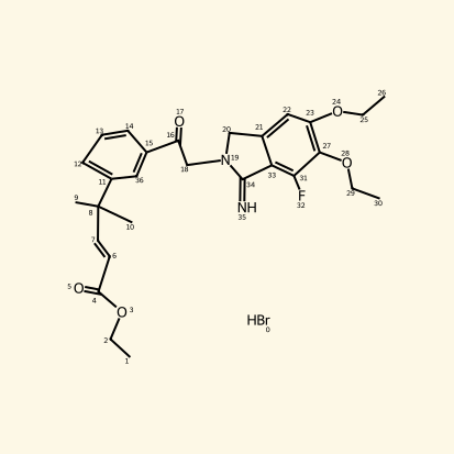 Br.CCOC(=O)C=CC(C)(C)c1cccc(C(=O)CN2Cc3cc(OCC)c(OCC)c(F)c3C2=N)c1